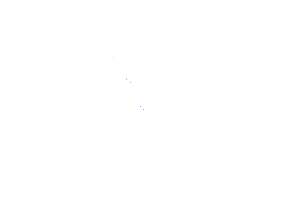 C=CC1=C(N(CC(=O)O)C(C)=O)N([S+]([O-])c2cc(Cl)cc(Cl)c2)C1CCCC